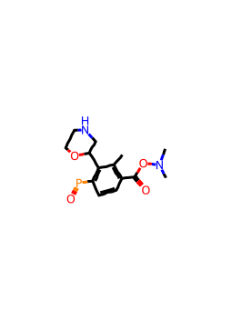 Cc1c(C(=O)ON(C)C)ccc(P=O)c1C1CNCCO1